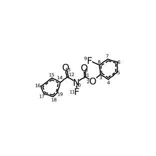 O=C(Oc1ccccc1F)N(F)C(=O)c1ccccc1